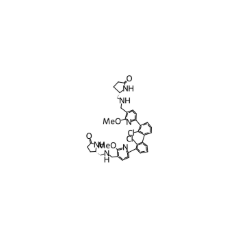 COc1nc(-c2cccc(-c3cccc(-c4ccc(CNC[C@@H]5CCC(=O)N5)c(OC)n4)c3Cl)c2Cl)ccc1CNC[C@@H]1CCC(=O)N1